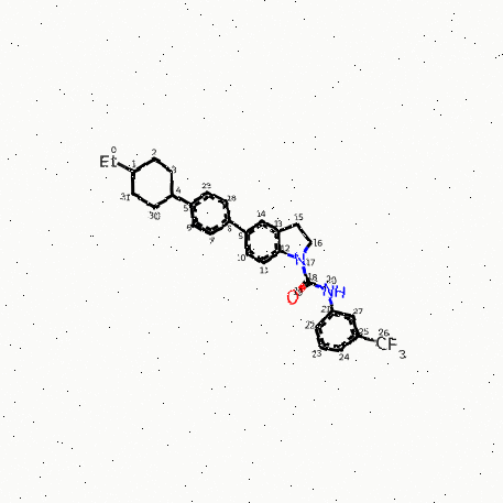 CCC1CCC(c2ccc(-c3ccc4c(c3)CCN4C(=O)Nc3cccc(C(F)(F)F)c3)cc2)CC1